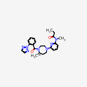 CCC(=O)N(C)c1cccc(N2CC[C@@H](C)N(C(=O)c3ccccc3-n3nccn3)CC2)n1